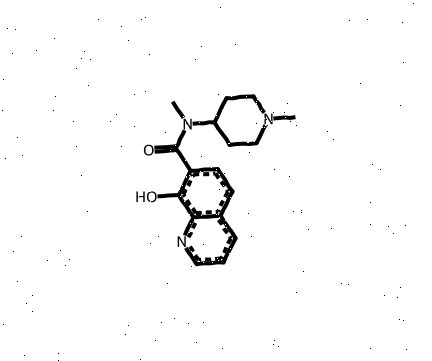 CN1CCC(N(C)C(=O)c2ccc3cccnc3c2O)CC1